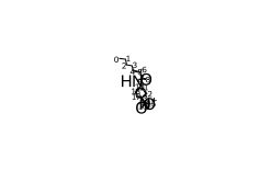 CCCCC=C(C)C(=O)Nc1ccc([N+](=O)[O-])cc1